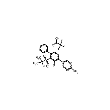 CC(C)(C)S(=O)(=O)c1c(-c2ccccc2)ccc(-c2cnc(N)nc2)c1F.O=C(O)C(F)(F)F